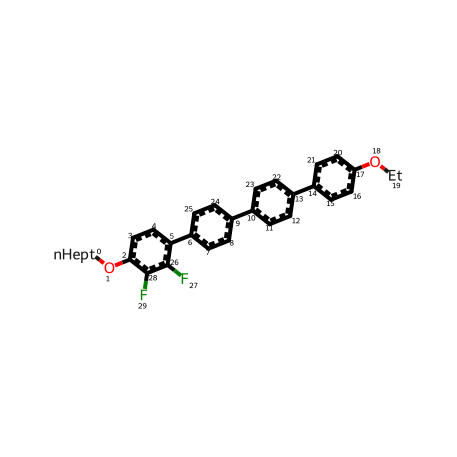 CCCCCCCOc1ccc(-c2ccc(-c3ccc(-c4ccc(OCC)cc4)cc3)cc2)c(F)c1F